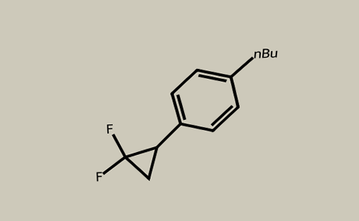 CCCCc1ccc(C2CC2(F)F)cc1